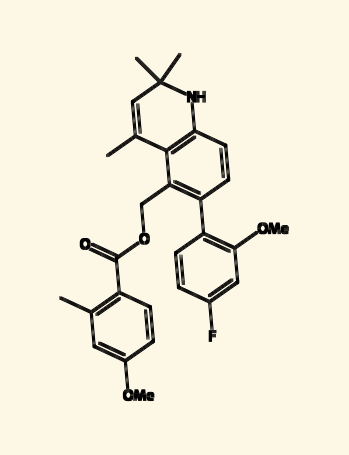 COc1ccc(C(=O)OCc2c(-c3ccc(F)cc3OC)ccc3c2C(C)=CC(C)(C)N3)c(C)c1